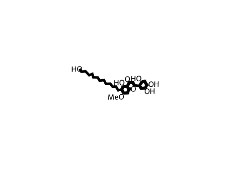 COc1cc2oc(-c3cc(O)c(O)cc3O)cc(=O)c2c(O)c1CCCCCCCCCCCCCO